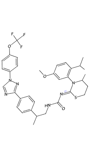 COc1ccc(C(C)C)c(N2/C(=N/C(=O)NCC(C)c3ccc(-c4ncn(-c5ccc(OC(F)(F)F)cc5)n4)cc3)SCCC2C)c1